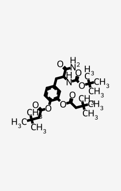 CC(C)(C)CC(=O)Oc1ccc(CC(NC(=O)OC(C)(C)C)C(N)=O)cc1OC(=O)CC(C)(C)C